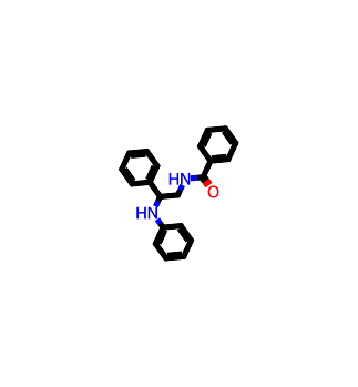 O=C(NCC(Nc1ccccc1)c1ccccc1)c1ccccc1